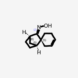 O/N=C1/[C@@H]2CC[C@@H](C2)[C@]12CC=CCC2